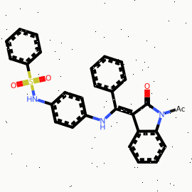 CC(=O)N1C(=O)C(=C(Nc2ccc(NS(=O)(=O)c3ccccc3)cc2)c2ccccc2)c2ccccc21